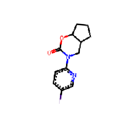 O=C1OC2CCCC2CN1c1ccc(I)cn1